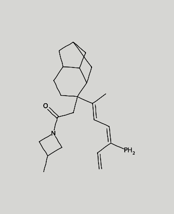 C=C/C(P)=C\C=C(/C)C1(CC(=O)N2CC(C)C2)CCC2CC3CC2C1C3